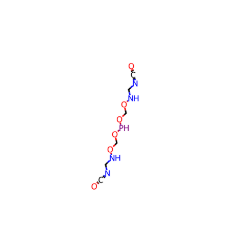 O=C=NCNOCOPOCONCN=C=O